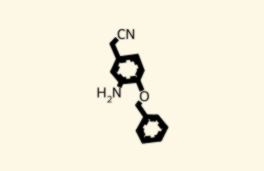 N#CCc1ccc(OCc2ccccc2)c(N)c1